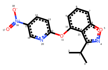 CC(C)c1noc2cccc(Oc3ccc([N+](=O)[O-])cn3)c12